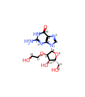 Nc1nc2c(ncn2[C@@H]2O[C@H](CO)[C@@H](O)[C@H]2OCCO)c(=O)[nH]1